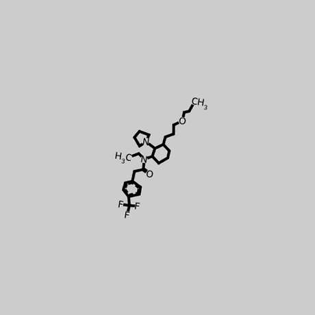 CCCOCCCC1CCCC(N(CC)C(=O)Cc2ccc(C(F)(F)F)cc2)C1N1CCCC1